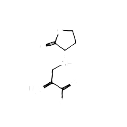 C=C(CN[C@H]1CCOC1=O)C(C)=O